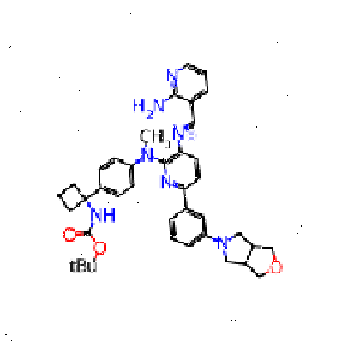 CN(c1ccc(C2(NC(=O)OC(C)(C)C)CCC2)cc1)c1nc(-c2cccc(N3CC4COCC4C3)c2)ccc1/N=C/c1cccnc1N